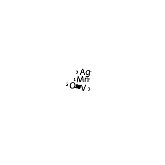 [Ag].[Mn].[O]=[V]